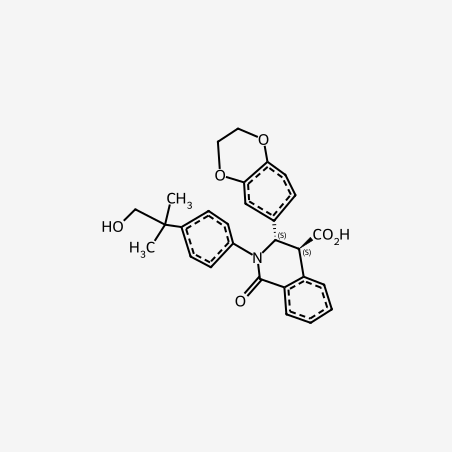 CC(C)(CO)c1ccc(N2C(=O)c3ccccc3[C@H](C(=O)O)[C@H]2c2ccc3c(c2)OCCO3)cc1